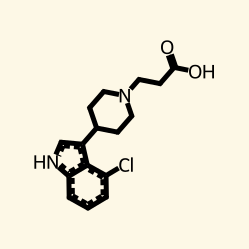 O=C(O)CCN1CCC(c2c[nH]c3cccc(Cl)c23)CC1